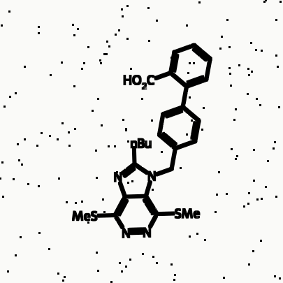 CCCCc1nc2c(SC)nnc(SC)c2n1Cc1ccc(-c2ccccc2C(=O)O)cc1